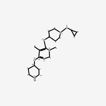 CC1=C(OC2CCN(SC3CC3)CC2)N(C)CN=C1OC1CCNCC1